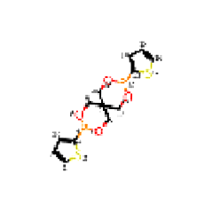 c1csc(P2OCC3(CO2)COP(c2cccs2)OC3)c1